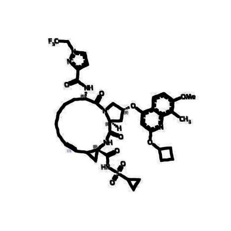 COc1ccc2c(O[C@@H]3C[C@H]4C(=O)N[C@]5(C(=O)NS(=O)(=O)C6CC6)CC5/C=C\CCCCC[C@H](NC(=O)c5ccn(CC(F)(F)F)n5)C(=O)N4C3)cc(OC3CCC3)nc2c1C